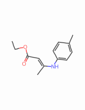 CCOC(=O)C=C(C)Nc1ccc(C)cc1